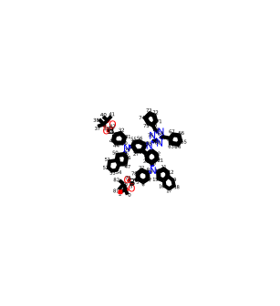 CC1(C)OB(c2ccc(N(c3ccc4c(c3)CCCC4)c3ccc4c(c3)c3cc(N(c5ccc(B6OC(C)(C)C(C)(C)O6)cc5)c5ccc6c(c5)CCCC6)ccc3n4-c3nc(-c4ccccc4)nc(-c4ccccc4)n3)cc2)OC1(C)C